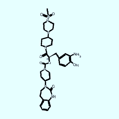 CS(=O)(=O)N1CCN(C2CCN(C(=O)[C@@H](Cc3ccc(O)c(N)c3)OC(=O)N3CCC(N4CCc5ccccc5NC4=O)CC3)CC2)CC1